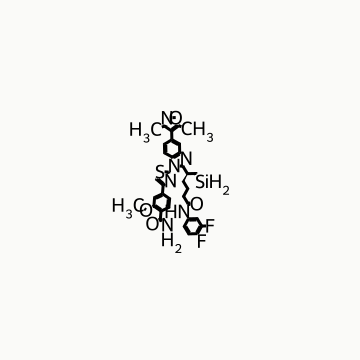 COc1cc(-c2csc(-n3c([C@@H](C=[SiH2])CCCC(=O)Nc4ccc(F)c(F)c4)nc4cc(-c5c(C)noc5C)ccc43)n2)ccc1C(N)=O